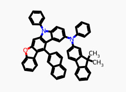 CC1(C)c2ccccc2-c2ccc(N(c3ccccc3)c3ccc4c(c3)c3c(-c5ccc6ccccc6c5)c5c(cc3n4-c3ccccc3)oc3ccccc35)cc21